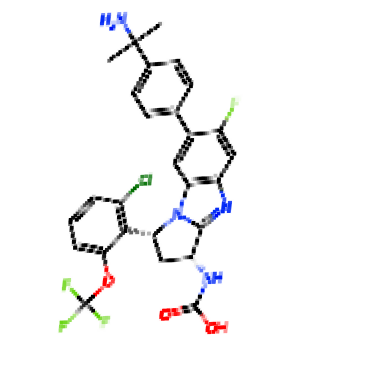 CC(C)(N)c1ccc(-c2cc3c(cc2F)nc2n3[C@@H](c3c(Cl)cccc3OC(F)(F)F)C[C@H]2NC(=O)O)cc1